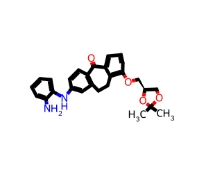 CC1(C)OC[C@H](COc2cccc3c2CCc2cc(Nc4ccccc4N)ccc2C3=O)O1